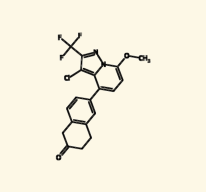 COc1ccc(-c2ccc3c(c2)CCC(=O)C3)c2c(Cl)c(C(F)(F)F)nn12